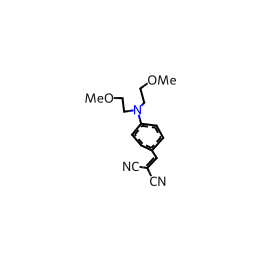 COCCN(CCOC)c1ccc(C=C(C#N)C#N)cc1